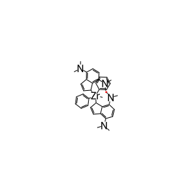 CN(C)c1ccc(N(C)C)c2c1C=C[CH]2[Zr]([CH3])([c]1ccccc1)([c]1ccccc1)[CH]1C=Cc2c(N(C)C)ccc(N(C)C)c21